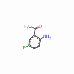 Nc1ccc(F)cc1C(=O)C(F)(F)F